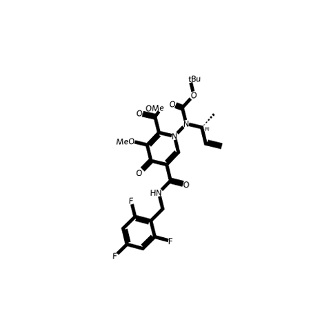 C=C[C@@H](C)N(C(=O)OC(C)(C)C)n1cc(C(=O)NCc2c(F)cc(F)cc2F)c(=O)c(OC)c1C(=O)OC